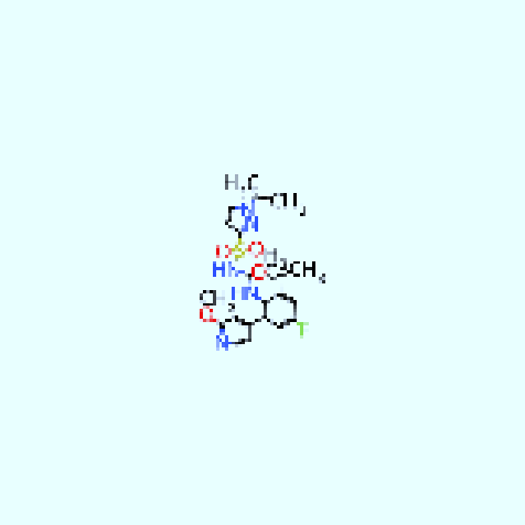 COc1cc(-c2cc(F)cc(C(C)C)c2NC(=O)NS(=O)(=O)c2ccn(C(C)C)n2)ccn1